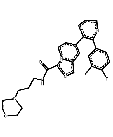 Cc1cc(-c2ncccc2-c2ccn3c(C(=O)NCCCN4CCOCC4)ncc3c2)ccc1F